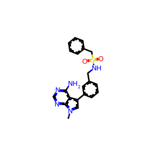 Cn1cc(-c2cccc(CNS(=O)(=O)Cc3ccccc3)c2)c2c(N)ncnc21